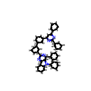 c1ccc(-c2cc(-c3cccc(-c4cccc(-c5nc(-c6ccccc6)c6c(n5)c5ccccc5n6-c5ccccc5)c4)c3)nc(-c3ccccc3)n2)cc1